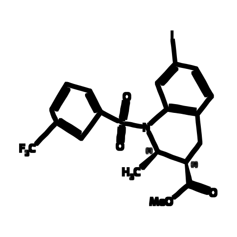 COC(=O)[C@@H]1Cc2ccc(I)cc2N(S(=O)(=O)c2cccc(C(F)(F)F)c2)[C@@H]1C